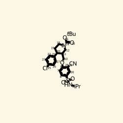 CC(C)NS(=O)(=O)c1ccc(OCC2CN(C(=O)OC(C)(C)C)CCC2c2ccc(Cl)cc2)c(C#N)c1